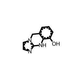 Oc1cccc2c1Nc1nccn1C2